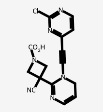 N#CC1(C2=NC=CCN2C#Cc2ccnc(Cl)n2)CN(C(=O)O)C1